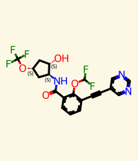 O=C(N[C@H]1C[C@H](OC(F)(F)F)C[C@@H]1O)c1cccc(C#Cc2cncnc2)c1OC(F)F